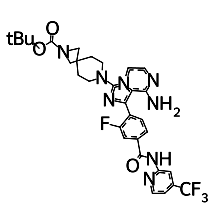 CC(C)(C)OC(=O)N1CC2(CCN(c3nc(-c4ccc(C(=O)Nc5cc(C(F)(F)F)ccn5)cc4F)c4c(N)nccn34)CC2)C1